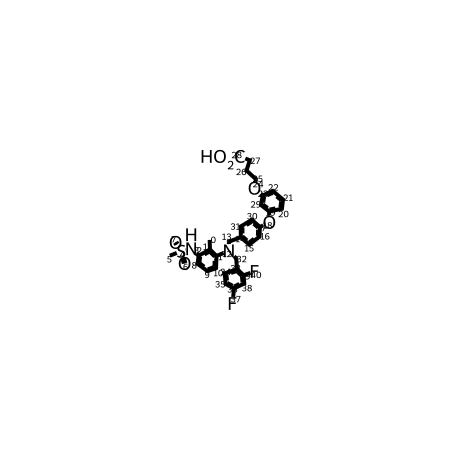 Cc1c(NS(C)(=O)=O)cccc1N(Cc1ccc(Oc2cccc(OCCCC(=O)O)c2)cc1)Cc1ccc(F)cc1F